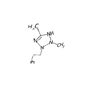 CC1=NN(CCC(C)C)N(C)N1